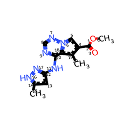 COC(=O)c1cn2ncnc(Nc3cc(C)[nH]n3)c2c1C